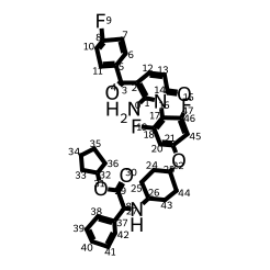 Nc1c(C(=O)c2ccc(F)cc2)ccc(=O)n1-c1c(F)cc(OC2CCC(NC(C(=O)OC3CCCC3)c3ccccc3)CC2)cc1F